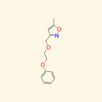 Cc1cc(COCCOc2ccccc2)no1